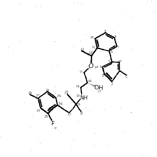 Cc1cccc(-c2ccccc2C(C)OC[C@H](O)CNC(C)(C)Cc2ccc(C)cc2F)c1